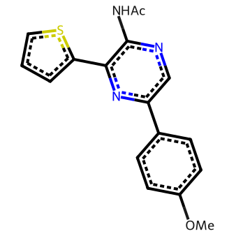 COc1ccc(-c2cnc(NC(C)=O)c(-c3cccs3)n2)cc1